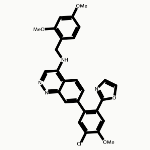 COc1ccc(CNc2cnnc3cc(-c4cc(Cl)c(OC)cc4-c4ncco4)ccc23)c(OC)c1